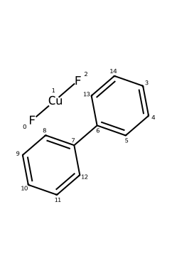 [F][Cu][F].c1ccc(-c2ccccc2)cc1